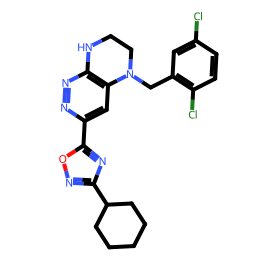 Clc1ccc(Cl)c(CN2CCNc3nnc(-c4nc(C5CCCCC5)no4)cc32)c1